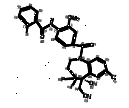 COc1cc(C(=O)N2CCC(F)(F)[C@](O)(CO)c3cc(Cl)ccc32)ccc1NC(=O)c1ccccc1C